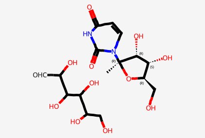 C[C@@]1(n2ccc(=O)[nH]c2=O)O[C@H](CO)[C@@H](O)[C@H]1O.O=CC(O)C(O)C(O)C(O)CO